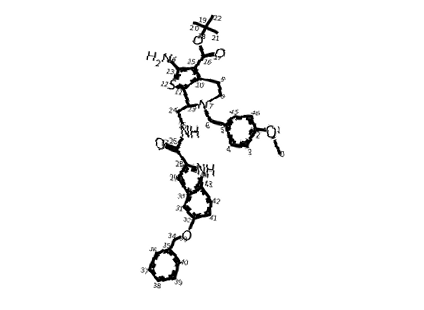 COc1ccc(CN2CCc3c(sc(N)c3C(=O)OC(C)(C)C)C2CNC(=O)c2cc3cc(OCc4ccccc4)ccc3[nH]2)cc1